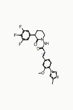 COc1cc(/C=C/C(=O)NN2CCCC(c3cc(F)c(F)c(F)c3)C2=O)ccc1-n1cnc(C)c1